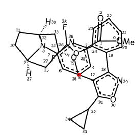 COC(=O)c1cccc(N2[C@@H]3CC[C@H]2C[C@H](OCc2c(-c4ccccc4OC(F)F)noc2C2CC2)C3)n1